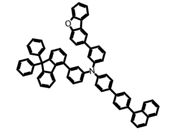 c1ccc(C2(c3ccccc3)c3ccccc3-c3c(-c4cccc(N(c5ccc(-c6ccc(-c7cccc8ccccc78)cc6)cc5)c5cccc(-c6ccc7oc8ccccc8c7c6)c5)c4)cccc32)cc1